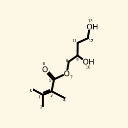 CC(C)=C(C)C(=O)OCC(O)CCO